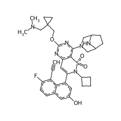 C#Cc1c(F)ccc2cc(O)cc(C3=Cc4nc(OCC5(CN(C)C)CC5)nc(N5CC6CCC(C5)N6)c4S(=O)(=O)N3C3CCC3)c12